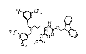 O=C(N[C@@H](CCCN(Cc1cc(C(F)(F)F)cc(C(F)(F)F)c1)Cc1cc(C(F)(F)F)cc(C(F)(F)F)c1)C(=O)OC(=O)C(F)(F)F)OCC1c2ccccc2-c2ccccc21